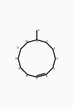 CC1CCCCC=CCCCCC1